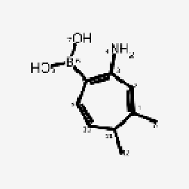 CC1=CC(N)=C(B(O)O)C=CC1C